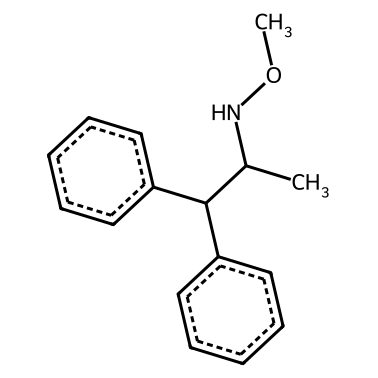 CONC(C)C(c1ccccc1)c1ccccc1